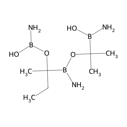 CCC(C)(OB(N)O)B(N)OC(C)(C)B(N)O